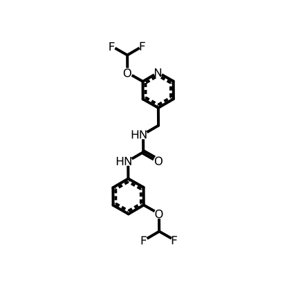 O=C(NCc1ccnc(OC(F)F)c1)Nc1cccc(OC(F)F)c1